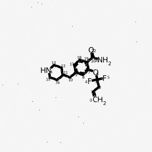 C=CCC(F)(F)Oc1cc(CC2CCNCC2)ccc1C(N)=O